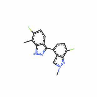 Cc1c(F)ccc2c(-c3ccc(F)c4nn(C)cc34)n[nH]c12